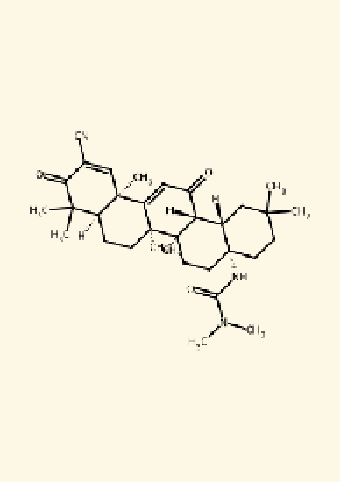 CN(C)C(=O)N[C@@]12CCC(C)(C)C[C@H]1[C@H]1C(=O)C=C3[C@]4(C)C=C(C#N)C(=O)C(C)(C)[C@@H]4CC[C@]3(C)[C@]1(C)CC2